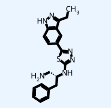 CCc1n[nH]c2ccc(-c3nnc(N[C@@H](CN)Cc4ccccc4)s3)cc12